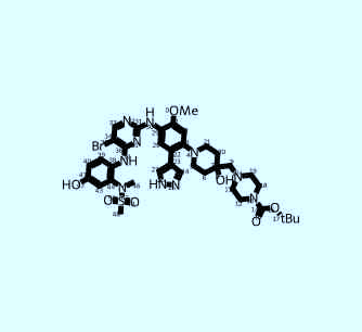 COc1cc(N2CCC(O)(CN3CCN(C(=O)OC(C)(C)C)CC3)CC2)c(-c2cn[nH]c2)cc1Nc1ncc(Br)c(Nc2ccc(O)cc2N(C)S(C)(=O)=O)n1